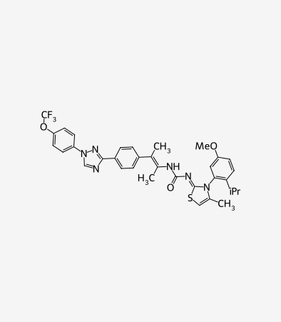 COc1ccc(C(C)C)c(-n2c(C)cs/c2=N\C(=O)N/C(C)=C(\C)c2ccc(-c3ncn(-c4ccc(OC(F)(F)F)cc4)n3)cc2)c1